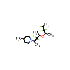 CC(OC(C)C(F)(F)C(N1CCC(C(F)(F)F)CC1)C(F)(F)F)C(F)(F)C(F)C(F)(F)F